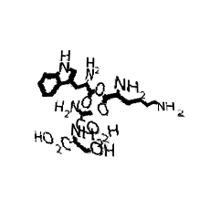 C[C@H](N)C(=O)O.NCCCC[C@H](N)C(=O)OC(=O)[C@@H](N)Cc1c[nH]c2ccccc12.N[C@H](CO)C(=O)O